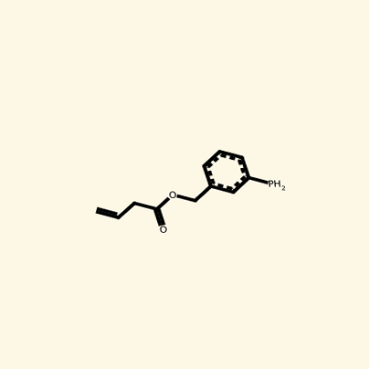 C=CCC(=O)OCc1cccc(P)c1